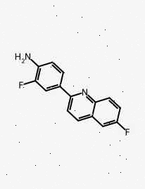 Nc1ccc(-c2ccc3cc(F)ccc3n2)cc1F